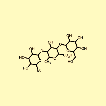 CCC1OC(OC2C(C)OC(C(=O)O)C(OC3OC(CO)C(O)C(O)C3O)C2O)C(O)C(O)C1O